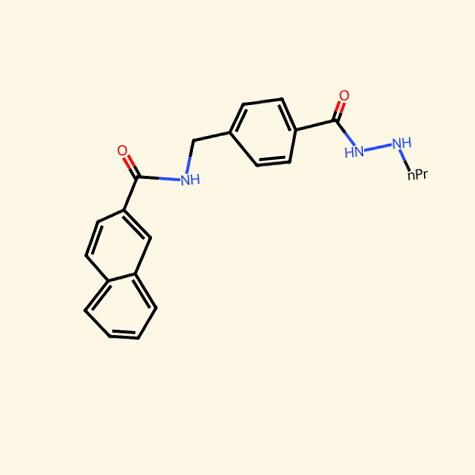 CCCNNC(=O)c1ccc(CNC(=O)c2ccc3ccccc3c2)cc1